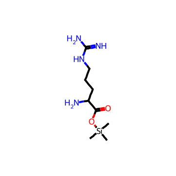 C[Si](C)(C)OC(=O)C(N)CCCNC(=N)N